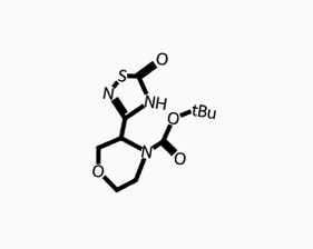 CC(C)(C)OC(=O)N1CCOCC1c1nsc(=O)[nH]1